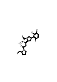 Cn1c(CC(=O)N2CCCC2CF)c2n(c1=S)CC(c1c(F)ccc(F)c1F)C2